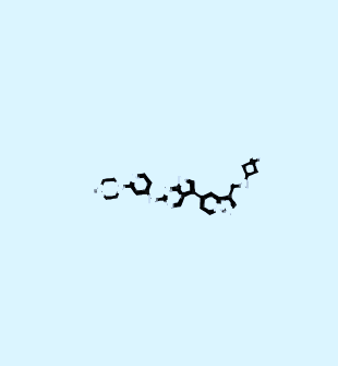 CN1CCN(c2cc(Nc3ncc4c(-c5ccn6ncc(C(=O)NC7CC(F)(F)C7)c6c5)c[nH]c4n3)ccn2)CC1